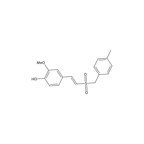 COc1cc(C=CS(=O)(=O)Cc2ccc(C)cc2)ccc1O